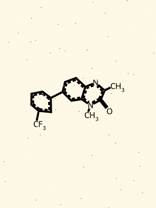 Cc1nc2ccc(-c3cccc(C(F)(F)F)c3)cc2n(C)c1=O